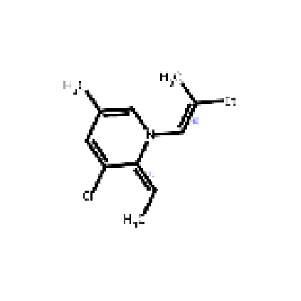 C/C=C1\C(Cl)=CC(C)=CN1/C=C(\C)CC